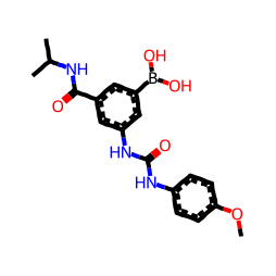 COc1ccc(NC(=O)Nc2cc(B(O)O)cc(C(=O)NC(C)C)c2)cc1